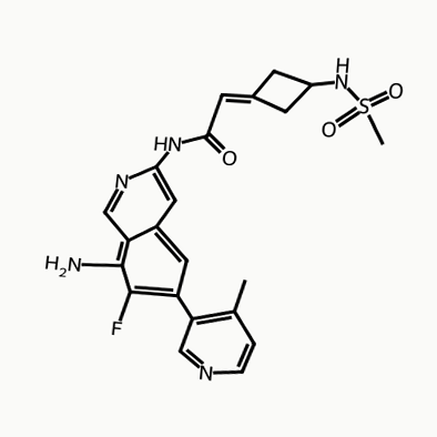 Cc1ccncc1-c1cc2cc(NC(=O)C=C3CC(NS(C)(=O)=O)C3)ncc2c(N)c1F